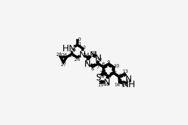 CC1CN(c2ncc(-c3ccc(-c4cn[nH]c4)c4ncsc34)nn2)CC(C2CC2)N1